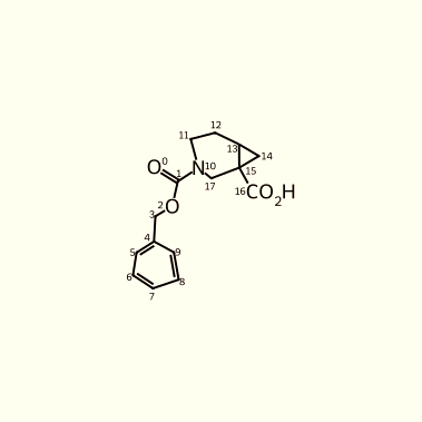 O=C(OCc1ccccc1)N1CCC2CC2(C(=O)O)C1